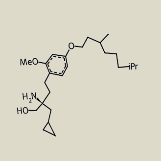 COc1cc(OCCC(C)CCCC(C)C)ccc1CC[C@@](N)(CO)CC1CC1